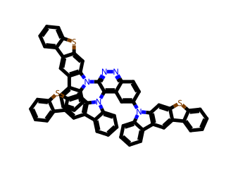 c1ccc2c(c1)sc1cc3c(cc12)c1ccccc1n3-c1ccc2nnc(-n3c4ccccc4c4cc5c(cc43)sc3ccccc35)c(-n3c4ccccc4c4cc5c(cc43)sc3ccccc35)c2c1